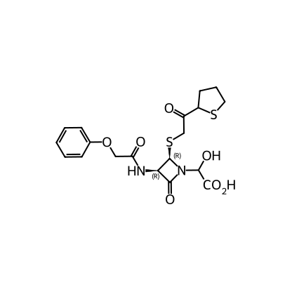 O=C(COc1ccccc1)N[C@@H]1C(=O)N(C(O)C(=O)O)[C@@H]1SCC(=O)C1CCCS1